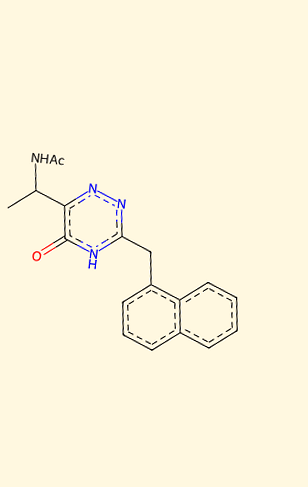 CC(=O)NC(C)c1nnc(Cc2cccc3ccccc23)[nH]c1=O